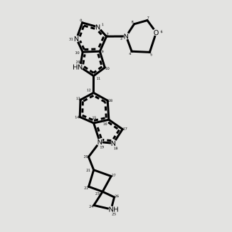 c1nc(N2CCOCC2)c2cc(-c3ccc4c(cnn4CC4CC5(CNC5)C4)c3)[nH]c2n1